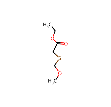 CCOC(=O)CSCOC